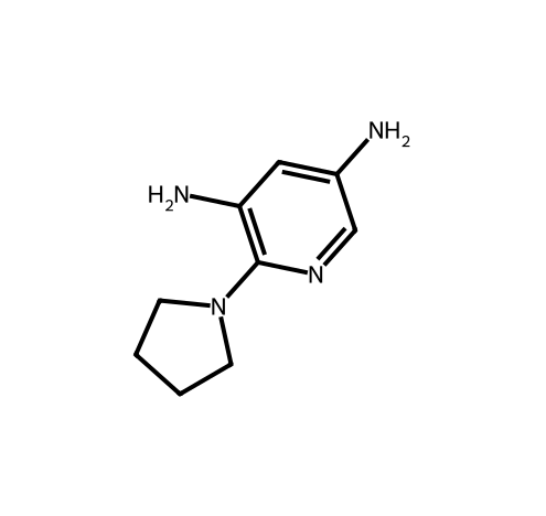 Nc1cnc(N2CCCC2)c(N)c1